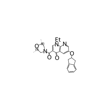 CCn1cc(C(=O)N2C[C@@H](C)O[C@@H](C)C2)c(=O)c2cc(OC3Cc4ccccc4C3)cnc21